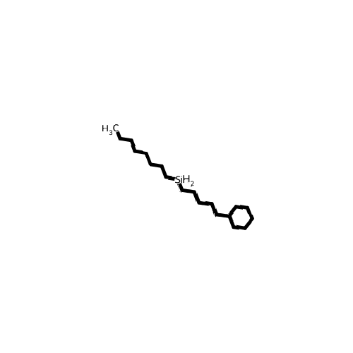 CCCCCCCC[SiH2]CCCCCC1CCCCC1